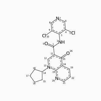 O=C(Nc1c(Cl)cncc1Cl)c1cn(C2CCCC2)c2ncccc2c1=O